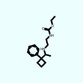 CCOC(=O)NCCNC(C)C1(c2ccccc2)CCC1